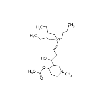 CCC[CH2][Sn](/[CH]=C/CC(O)C1CN(C)CCC1OC(C)=O)([CH2]CCC)[CH2]CCC